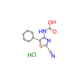 Cl.N#Cc1nc(NC(=O)O)c(-c2ccccc2)s1